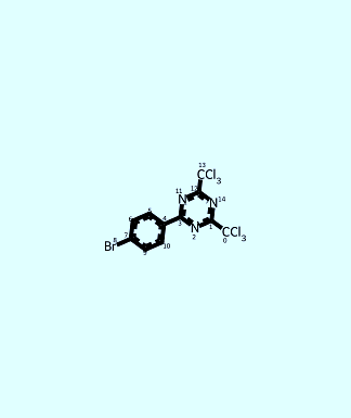 ClC(Cl)(Cl)c1nc(-c2ccc(Br)cc2)nc(C(Cl)(Cl)Cl)n1